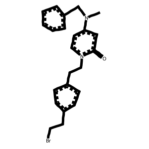 CN(Cc1ccccc1)c1ccn(CCc2ccc(CCBr)cc2)c(=O)c1